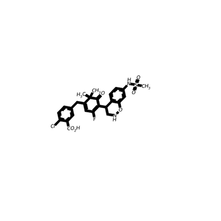 CC1(C)C(=O)C(C2CNOc3cc(NS(C)(=O)=O)ccc32)=C(F)C=C1Cc1ccc(Cl)c(C(=O)O)c1